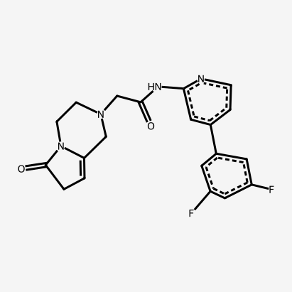 O=C(CN1CCN2C(=O)CC=C2C1)Nc1cc(-c2cc(F)cc(F)c2)ccn1